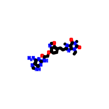 CCn1c(=O)n(C)c(=O)c2c1nc(CCc1ccc(OCC(=O)Nc3nc(N)c4nc[nH]c4n3)c3ncoc13)n2C